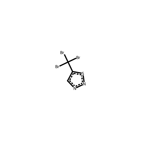 BrC(Br)(Br)c1cnns1